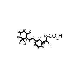 CC1=C(/C=C/c2cccc(C(C)CC(=O)O)c2)C(C)(C)CCC1